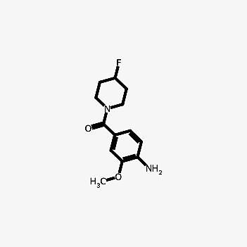 COc1cc(C(=O)N2CCC(F)CC2)ccc1N